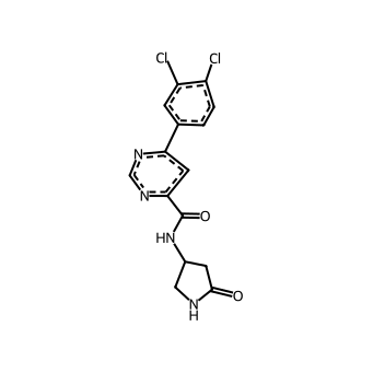 O=C1CC(NC(=O)c2cc(-c3ccc(Cl)c(Cl)c3)ncn2)CN1